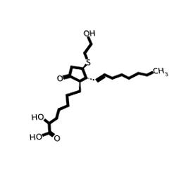 CCCCCCC=C[C@H]1[C@H](SCCO)CC(=O)[C@@H]1CCCCCC(O)C(=O)O